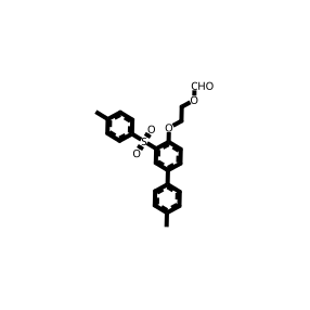 Cc1ccc(-c2ccc(OCCOC=O)c(S(=O)(=O)c3ccc(C)cc3)c2)cc1